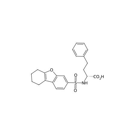 O=C(O)[C@@H](CCc1ccccc1)NS(=O)(=O)c1ccc2c3c(oc2c1)CCCC3